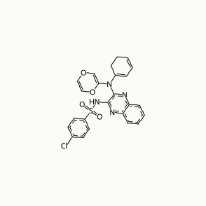 O=S(=O)(Nc1nc2ccccc2nc1N(C1=CC=CCC1)C1=COC=CO1)c1ccc(Cl)cc1